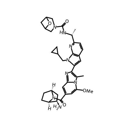 COc1cc(C(=O)N2[C@H]3CC[C@@H]2[C@H](N)C3)cc2nc(-c3cc4ccc([C@@H](C)NC(=O)N5CC6CC(C5)O6)nc4n3CC3CC3)c(C)n12